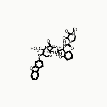 CCN1CCN(C(=O)NC(C(=O)N[C@@H]2C(=O)N3C(C(=O)O)=C(Sc4ccc5c(c4)oc4ccccc45)CS[C@@H]23)c2ccccc2O)C(=O)C1=O